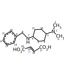 CN(C)C1CCC(NCc2ccccc2)CC1.O=C(O)/C=C/C(=O)O